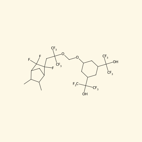 CC1C(C)C2CC1C(F)(F)C2(F)CC(OCOC1CC(C(O)(C(F)(F)F)C(F)(F)F)CC(C(O)(C(F)(F)F)C(F)(F)F)C1)(C(F)(F)F)C(F)(F)F